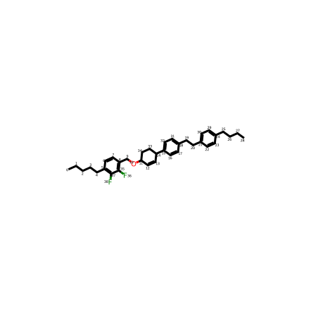 CCCCCc1ccc(COC2C=CC(c3ccc(CCc4ccc(CCCC)cc4)cc3)CC2)c(F)c1F